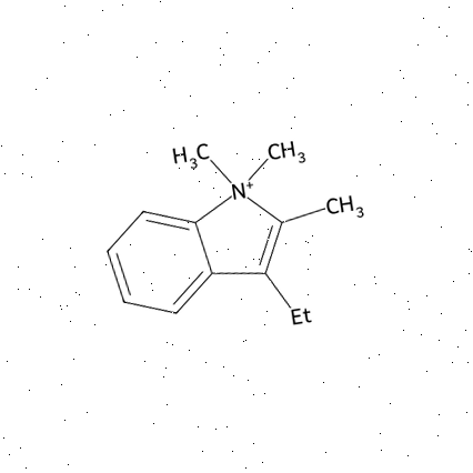 CCC1=C(C)[N+](C)(C)c2ccccc21